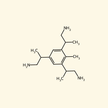 Cc1c(C(C)CN)cc(C(C)CN)cc1C(C)CN